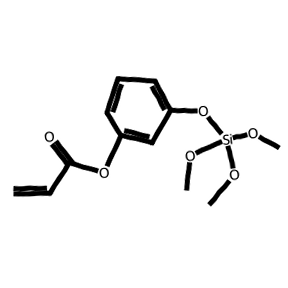 C=CC(=O)Oc1cccc(O[Si](OC)(OC)OC)c1